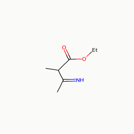 CCOC(=O)C(C)C(C)=N